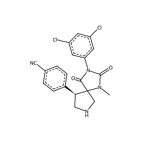 CN1C(=O)N(c2cc(Cl)cc(Cl)c2)C(=O)C12CNC[C@H]2c1ccc(C#N)cc1